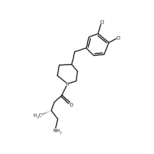 C[C@@H](CN)CC(=O)N1CCC(Cc2ccc(Cl)c(Cl)c2)CC1